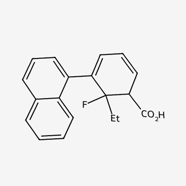 CCC1(F)C(c2cccc3ccccc23)=CC=CC1C(=O)O